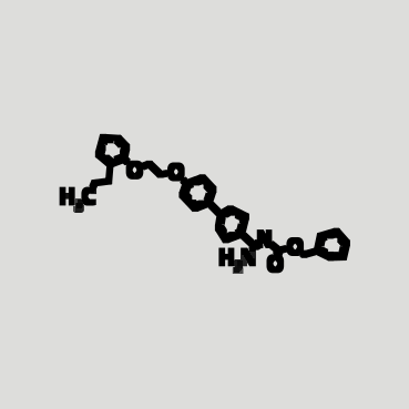 CCCc1ccccc1OCCOc1ccc(-c2ccc(/C(N)=N/C(=O)OCc3ccccc3)cc2)cc1